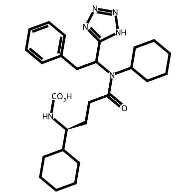 O=C(O)N[C@@H](CCC(=O)N(C1CCCCC1)C(Cc1ccccc1)c1nnn[nH]1)C1CCCCC1